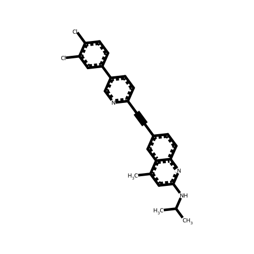 Cc1cc(NC(C)C)nc2ccc(C#Cc3ccc(-c4ccc(Cl)c(Cl)c4)cn3)cc12